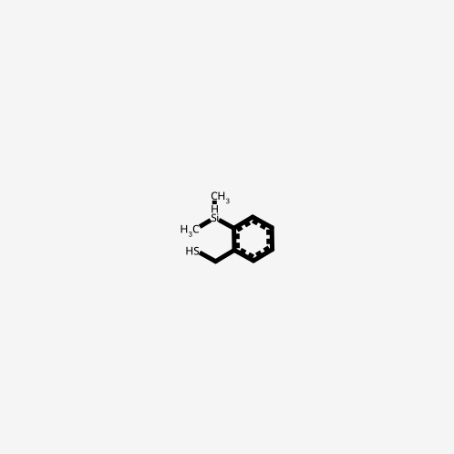 C[SiH](C)c1ccccc1CS